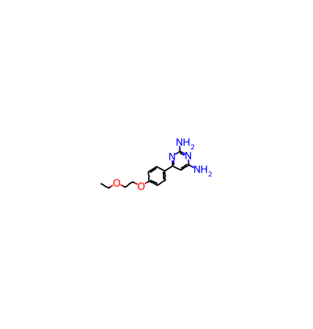 CCOCCOc1ccc(-c2cc(N)nc(N)n2)cc1